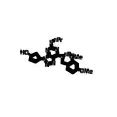 CCCCN(Cc1ccc(OC)cc1OC)c1nc(SCCC)nc2c1nnn2C1C=C[C@@H](O)C1